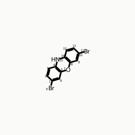 Brc1ccc2c(c1)Oc1cc(Br)ccc1N2